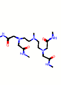 CNC(=O)CN(CCN(C)CCN(CC(=O)NC)CC(=O)NC)CC(=O)NC